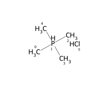 C[PH](C)(C)C.Cl